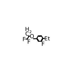 C=C(OCc1ccc(CC)c(F)c1)C(F)F